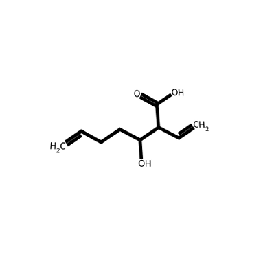 C=CCCC(O)C(C=C)C(=O)O